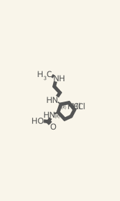 CNCCN[C@@H]1CCCC[C@H]1NC(=O)O.Cl.Cl